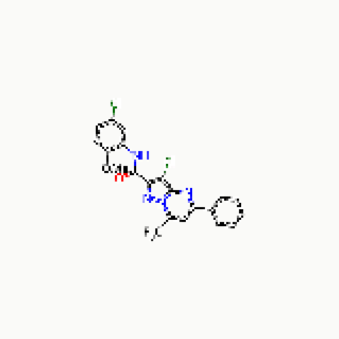 COc1ccc(Cl)cc1NC(=O)c1nn2c(C(F)(F)F)cc(-c3ccccc3)nc2c1Cl